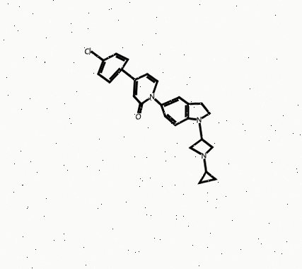 O=c1cc(-c2ccc(Cl)cc2)ccn1-c1ccc2c(c1)CCN2C1CN(C2CC2)C1